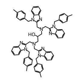 Cc1ccc(Cn2c(CN(Cc3nc4ccccc4n3Cc3ccc(C)cc3)CC(O)CN(Cc3nc4ccccc4n3Cc3ccc(C)cc3)Cc3nc4ccccc4n3Cc3ccc(C)cc3)nc3ccccc32)cc1